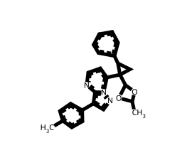 Cc1ccc(-c2cnn3c(C4(C5OC(C)O5)CC4c4ccccc4)ccnc23)cc1